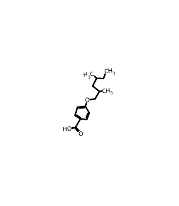 CCC(C)CC(C)COc1ccc(C(=O)O)cc1